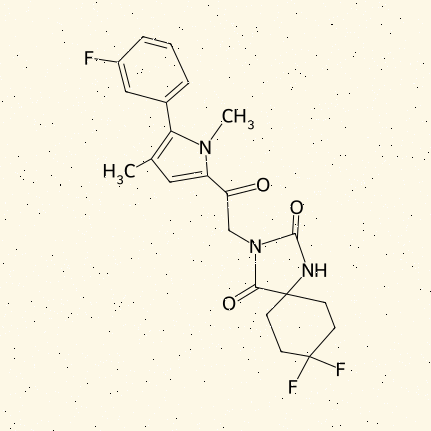 Cc1cc(C(=O)CN2C(=O)NC3(CCC(F)(F)CC3)C2=O)n(C)c1-c1cccc(F)c1